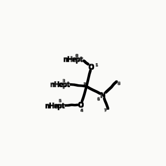 CCCCCCCOC(CCCCCCC)(OCCCCCCC)N(C)C